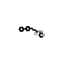 O=C(CCCc1ccc(-c2ccccc2)cc1)Nc1cccnc1